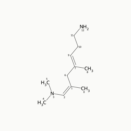 C/C(=C/N(C)C)C/C(C)=C/CCN